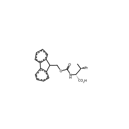 CC(C)[C@H](C)[C@@H](NC(=O)OCC1c2ccccc2-c2ccccc21)C(=O)O